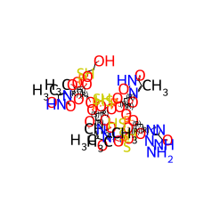 COC1[C@@H](OP(=O)(S)OCCCO)[C@@H](COP(=O)(S)O[C@@H]2C(OC)[C@H](n3cc(C)c(=O)[nH]c3=O)O[C@@H]2COP(=O)(S)O[C@@H]2C[C@H](n3cc(C)c(=O)[nH]c3=O)O[C@@H]2COP(=O)(S)O[C@@H]2C[C@H](n3cnc4c(=O)[nH]c(N)nc43)O[C@@H]2COP(=S)(S)OC(C)C)O[C@H]1n1cc(C)c(=O)[nH]c1=O